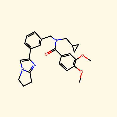 COc1ccc(C(=O)N(Cc2cccc(-c3cn4c(n3)CCC4)c2)CC2CC2)cc1OC